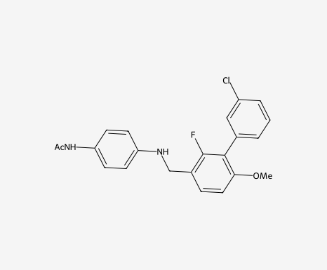 COc1ccc(CNc2ccc(NC(C)=O)cc2)c(F)c1-c1cccc(Cl)c1